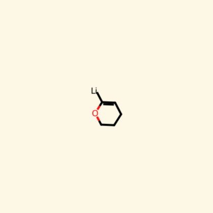 [Li][C]1=CCCCO1